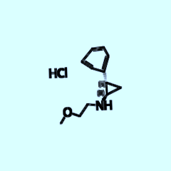 COCCN[C@@H]1C[C@H]1c1ccccc1.Cl